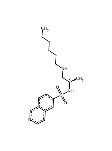 CCCCCCNC[C@@H](C)NS(=O)(=O)c1ccc2cnccc2c1